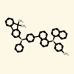 Cc1ccc(N(c2cccc3ccccc23)c2cccc3c(-c4ccc(N(c5ccccc5)c5ccc6c(c5)C(C)(C)c5ccccc5-6)cc4)cccc23)cc1